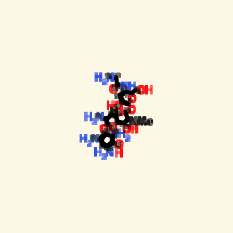 CNC1C(O[C@H]2OC(CO)[C@@H](NC(=O)CN)CC2O)O[C@H]2CC(N)[C@@H](O[C@@H]3C(N)C[C@@H](N)C(O)C3N)OC2C1O